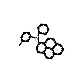 Cc1cccc(N(c2ccccc2)c2ccc3ccc4cccc5ccc2c3c45)c1